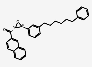 O=C(c1ccc2ccccc2c1)[C@@H]1O[C@H]1c1cccc(CCCCCCc2ccccc2)c1